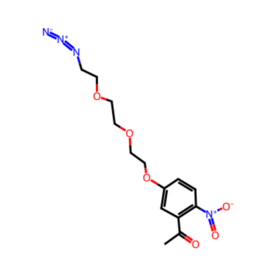 CC(=O)c1cc(OCCOCCOCCN=[N+]=[N-])ccc1[N+](=O)[O-]